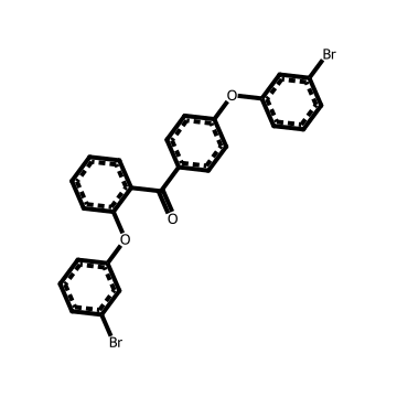 O=C(c1ccc(Oc2cccc(Br)c2)cc1)c1ccccc1Oc1cccc(Br)c1